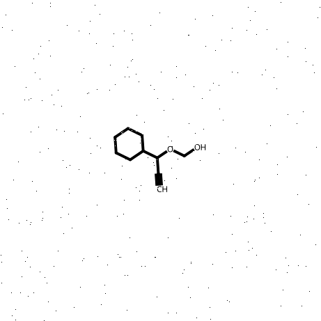 C#CC(OCO)C1CCCCC1